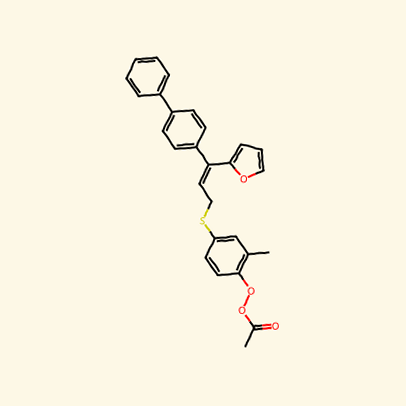 CC(=O)OOc1ccc(SCC=C(c2ccc(-c3ccccc3)cc2)c2ccco2)cc1C